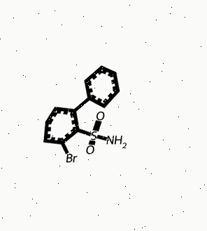 NS(=O)(=O)c1c(Br)cccc1-c1ccccc1